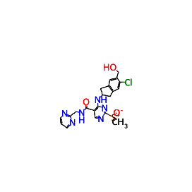 C[S+]([O-])c1ncc(C(=O)NCc2ncccn2)c(NC2Cc3cc(Cl)c(CO)cc3C2)n1